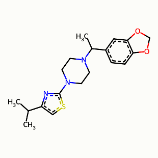 CC(C)c1csc(N2CCN(C(C)c3ccc4c(c3)OCO4)CC2)n1